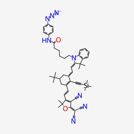 CC1(C)OC(=C(C#N)C#N)C(C#N)=C1C=CC1=C(C#C[Si](C)(C)C)C(=CC=C2N(CCCCCC(=O)Nc3ccc(N=[N+]=[N-])cc3)c3ccccc3C2(C)C)CC(C(C)(C)C)C1